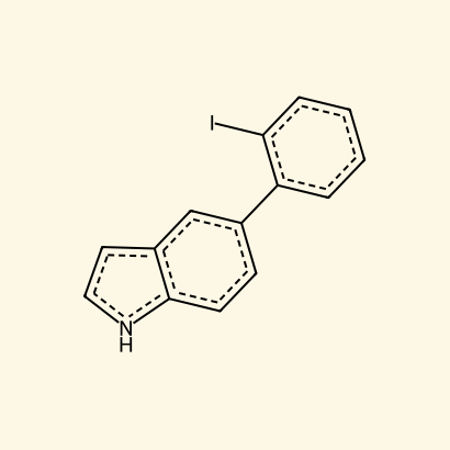 Ic1ccccc1-c1ccc2[nH]ccc2c1